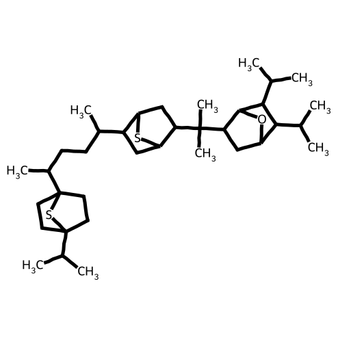 CC(C)C1C2CC(C(C)(C)C3CC4SC3CC4C(C)CCC(C)C34CCC(C(C)C)(CC3)S4)C(O2)C1C(C)C